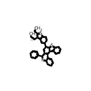 C=Cc1sc2ccc(-c3cc4c(-c5ccccc5)nc5ccccc5c4c4c3sc3ccccc34)cc2c1/C=C\C